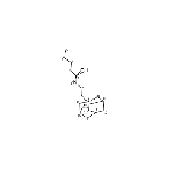 CCCCC(=O)[N]CCC12CC3CC(CC(C3)C1)C2